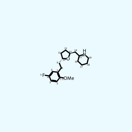 COc1ccc(F)cc1CC[C@@H]1CC[C@@H](CC2CCCCN2)O1